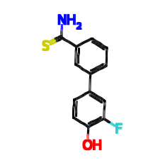 NC(=S)c1cccc(-c2ccc(O)c(F)c2)c1